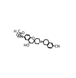 CS(=O)(=O)Nc1ccc2c(c1)[C@@H](O)CC1(CCN([C@H]3CCc4cc(C#N)ccc4C3)CC1)O2